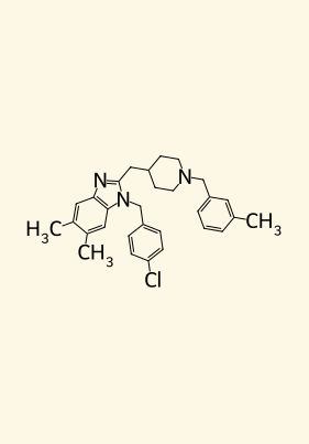 Cc1cccc(CN2CCC(Cc3nc4cc(C)c(C)cc4n3Cc3ccc(Cl)cc3)CC2)c1